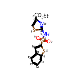 CCOC(=O)c1csc(NS(=O)(=O)c2cc3ccccc3s2)n1